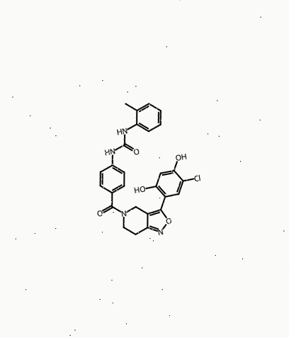 Cc1ccccc1NC(=O)Nc1ccc(C(=O)N2CCc3noc(-c4cc(Cl)c(O)cc4O)c3C2)cc1